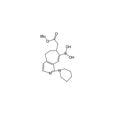 CC(C)(C)OC(=O)CC1CCc2ccnc(N3CCCCC3)c2C=C1B(O)O